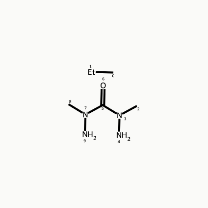 CCC.CN(N)C(=O)N(C)N